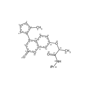 Cc1ccsc1-c1cc(=O)oc2cc(OC(C)C(=O)NC(C)C)ccc12